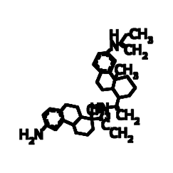 C=C=C(NC(=C)C1CCCC2(C)c3cc(NC(=C)CC)ccc3CCC12)C1(C)CCCC2c3cc(N)ccc3CCC21